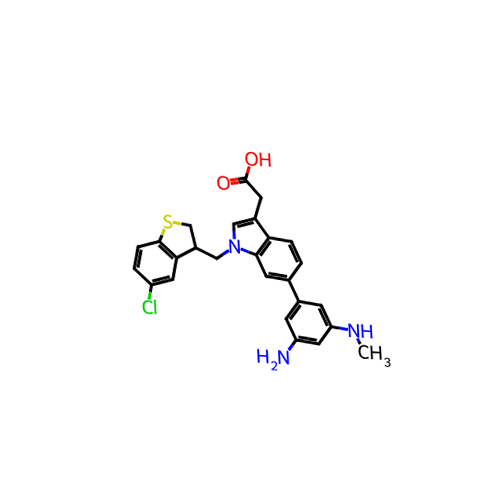 CNc1cc(N)cc(-c2ccc3c(CC(=O)O)cn(CC4CSc5ccc(Cl)cc54)c3c2)c1